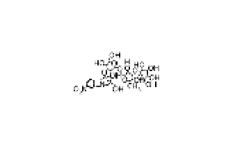 CC1OC(COC2OC(CO)C(O)C(OC3CN(Cc4cccc([N+](=O)[O-])c4)CC(CO)O3)C2O)C(O)C(OC2OC(CO)C(O)C(O)C2O)C1O